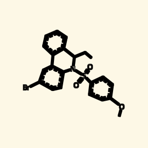 CCC1c2ccccc2-c2cc(Br)ccc2N1S(=O)(=O)c1ccc(OC)cc1